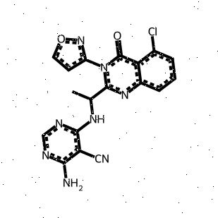 CC(Nc1ncnc(N)c1C#N)c1nc2cccc(Cl)c2c(=O)n1-c1ccon1